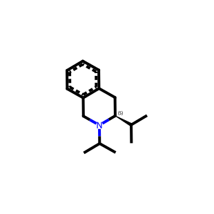 CC(C)[C@@H]1Cc2ccccc2CN1C(C)C